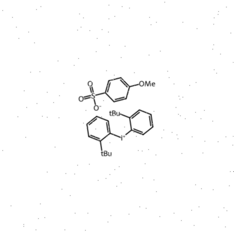 CC(C)(C)c1ccccc1[I+]c1ccccc1C(C)(C)C.COc1ccc(S(=O)(=O)[O-])cc1